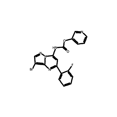 O=C(Nc1cc(-c2ccccc2F)nc2c(Br)cnn12)Oc1cccnc1